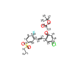 CCCS(=O)(=O)c1ccc(F)c(C#Cc2cc(Cl)ccc2OCC(=O)OC(C)(C)C)c1